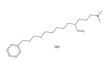 C=CC(CCCCCCCCCc1ccccc1)CCCN(C)C.Cl